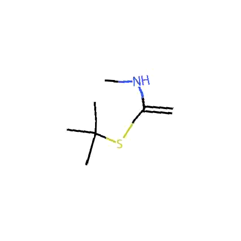 C=C(NC)SC(C)(C)C